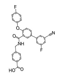 N#Cc1cc(F)cc(-c2ccc(Oc3ccc(F)cc3)c(C(=O)NCc3ccc(C(=O)O)cc3)c2)c1